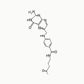 CC(=O)CCCNC(=O)c1ccc(NCc2cnc3nc(N)[nH]c(=O)c3n2)cc1